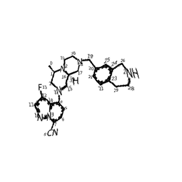 C[C@@H]1CN(c2ccc(C#N)n3ncc(F)c23)C[C@@H]2CN(Cc3ccc4c(c3)CNCC4)CCN21